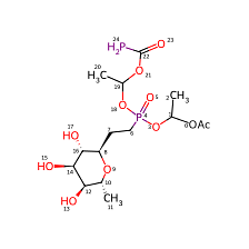 CC(=O)OC(C)OP(=O)(CC[C@H]1O[C@H](C)[C@@H](O)[C@@H](O)[C@@H]1O)OC(C)OC(=O)P